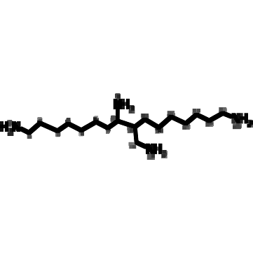 NCCCCCCCC(N)C(CN)CCCCCCCN